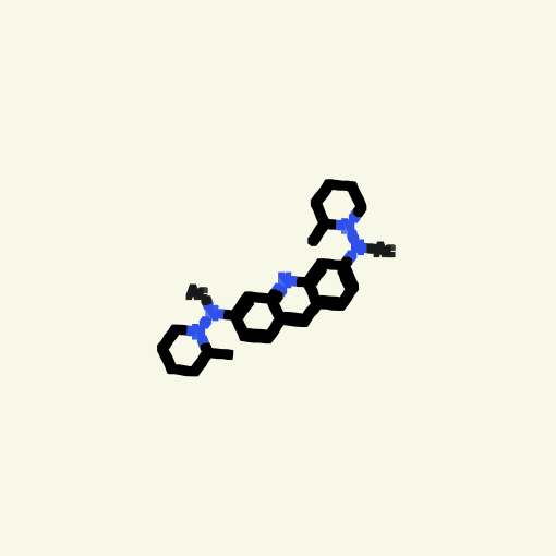 CC(=O)N(c1ccc2cc3ccc(N(C(C)=O)N4CCCCC4C)cc3nc2c1)N1CCCCC1C